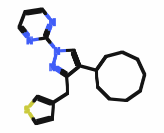 c1cnc(-n2cc(C3CCCCCCCC3)c(Cc3ccsc3)n2)nc1